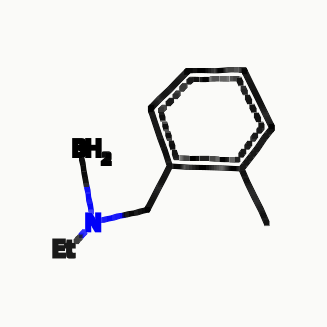 BN(CC)Cc1ccccc1C